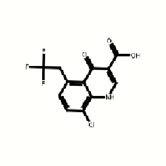 O=C(O)c1c[nH]c2c(Cl)ccc(CC(F)(F)F)c2c1=O